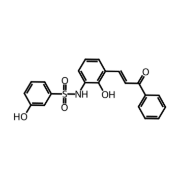 O=C(/C=C/c1cccc(NS(=O)(=O)c2cccc(O)c2)c1O)c1ccccc1